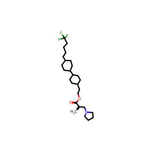 C=C(CN1CCCC1)C(=O)OCCC1CCC(C2CCC(CCCCC(F)(F)F)CC2)CC1